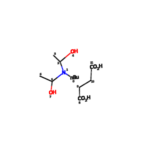 CCCCN(C(C)O)C(C)O.O=C(O)CCC(=O)O